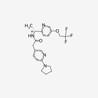 C[C@@H](NC(=O)Cc1ccc(N2CCCC2)nc1)c1ccc(OCC(F)(F)F)cn1